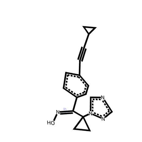 O/N=C(/c1ccc(C#CC2CC2)cc1)C1(n2cncn2)CC1